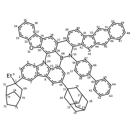 CCC1(c2ccc3c(c2)c2cc(C45CC6CC(CC(C6)C4)C5)cc4c2n3-c2c3c(cc5c2oc2ccccc25)-c2ccc5c(sc6cc7ccccc7cc65)c2N(c2ccc(-c5ccccc5)cc2)B34)CC2CCC(C2)C1